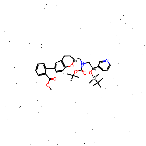 COC(=O)c1ccccc1-c1ccc2c(c1)CC[C@H](CN(C[C@H](O[Si](C)(C)C(C)(C)C)c1cccnc1)C(=O)OC(C)(C)C)O2